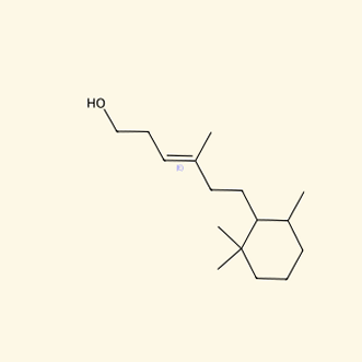 C/C(=C\CCO)CCC1C(C)CCCC1(C)C